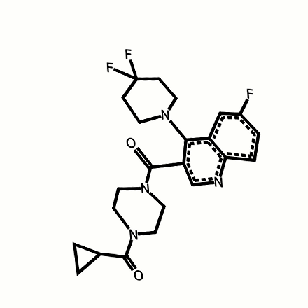 O=C(c1cnc2ccc(F)cc2c1N1CCC(F)(F)CC1)N1CCN(C(=O)C2CC2)CC1